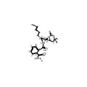 CCCCC[C@@H]1N(C(=O)c2ccccc2C(N)=O)[C@]12C1CC(C)(C)OC(=O)N12